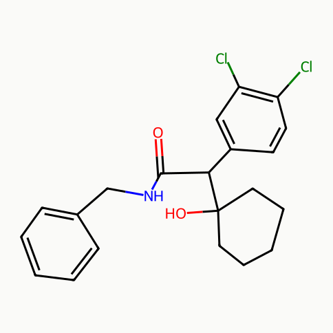 O=C(NCc1ccccc1)C(c1ccc(Cl)c(Cl)c1)C1(O)CCCCC1